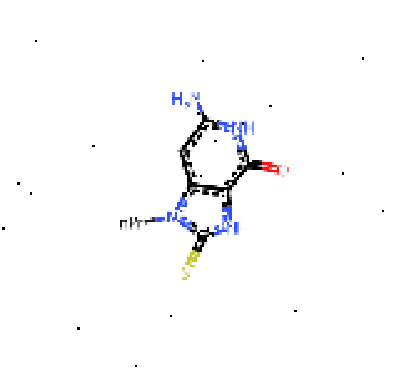 CCCn1c(=S)[nH]c2c(=O)[nH]c(N)cc21